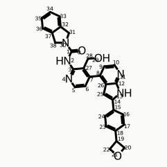 O=C(Nc1nccc(-c2ccnc3[nH]c(-c4ccc(C5COC5)cc4)cc23)c1CO)N1Cc2ccccc2C1